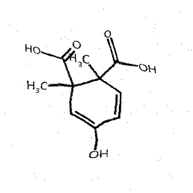 CC1(C(=O)O)C=CC(O)=CC1(C)C(=O)O